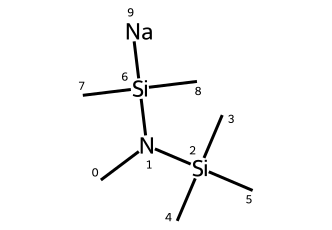 CN([Si](C)(C)C)[Si](C)(C)[Na]